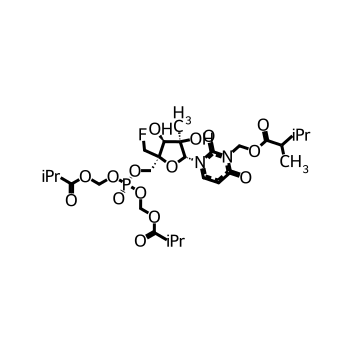 CC(C)C(=O)OCOP(=O)(OCOC(=O)C(C)C)OC[C@@]1(CF)O[C@@H](n2ccc(=O)n(COC(=O)C(C)C(C)C)c2=O)[C@](C)(O)[C@@H]1O